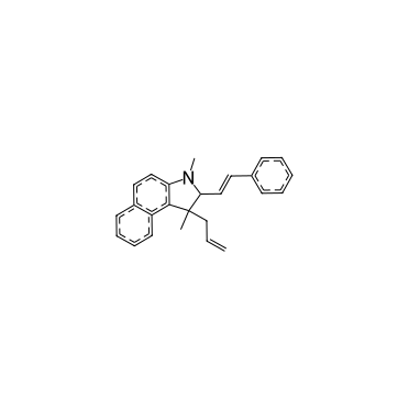 C=CCC1(C)c2c(ccc3ccccc23)N(C)C1/C=C/c1ccccc1